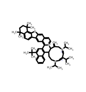 C=C1C/[N+](C(C)C)=C\C(C(C)C)=C/N(C(C)C)CCC2c3c(cc(C(C)(C)C)c4ccccc34)-c3c4cc5c(cc4cc[n+]3C12)sc1c2c(ccc15)C(C)(C)CCC2(C)C